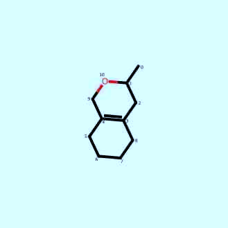 CC1CC2=C(CCCC2)CO1